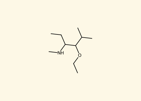 CCOC(C(C)C)C(CC)NC